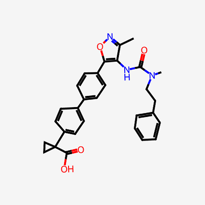 Cc1noc(-c2ccc(-c3ccc(C4(C(=O)O)CC4)cc3)cc2)c1NC(=O)N(C)CCc1ccccc1